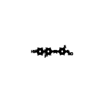 O=NSc1ccc(C#Cc2ccc(-c3ccc(S)cc3)c(F)c2)cc1F